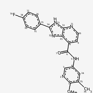 COc1ncc(NC(=O)c2ccnc3[nH]c(-c4ccc(F)cc4)nc23)cc1C